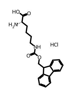 Cl.N[C@@H](CCCCNC(=O)OCC1c2ccccc2-c2ccccc21)C(=O)O